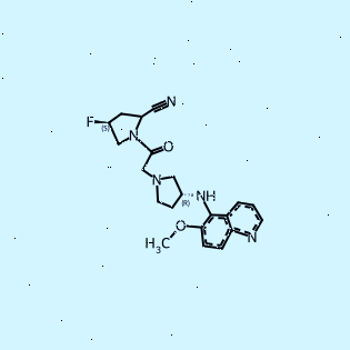 COc1ccc2ncccc2c1N[C@@H]1CCN(CC(=O)N2C[C@@H](F)CC2C#N)C1